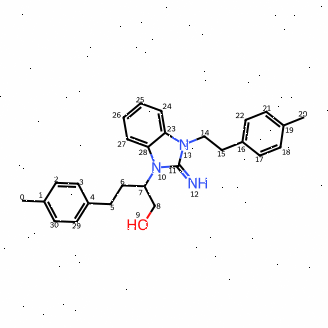 Cc1ccc(CCC(CO)n2c(=N)n(CCc3ccc(C)cc3)c3ccccc32)cc1